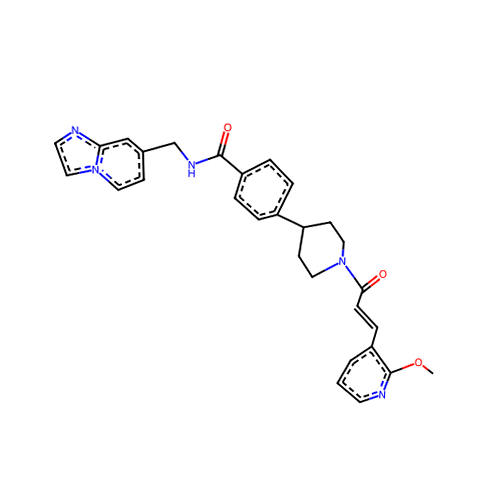 COc1ncccc1C=CC(=O)N1CCC(c2ccc(C(=O)NCc3ccn4ccnc4c3)cc2)CC1